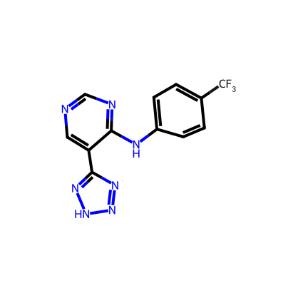 FC(F)(F)c1ccc(Nc2ncncc2-c2nn[nH]n2)cc1